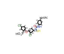 CC(=O)Nc1ccc(NC(=O)N(S)c2ccc(Oc3ccc(Cl)cc3S(=O)(=O)O)c(Cl)c2)cc1